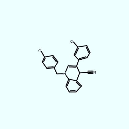 N#CC1C(c2cccc(Cl)c2)=CN(Cc2ccc(Cl)cc2)c2ccccc21